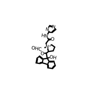 C[N+]1(CC(=O)Nc2ccncn2)CCCC1C(OC=O)C1(O)c2ccccc2-c2ccccc21